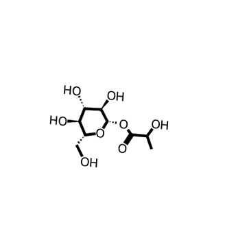 CC(O)C(=O)O[C@@H]1O[C@H](CO)[C@@H](O)[C@H](O)[C@H]1O